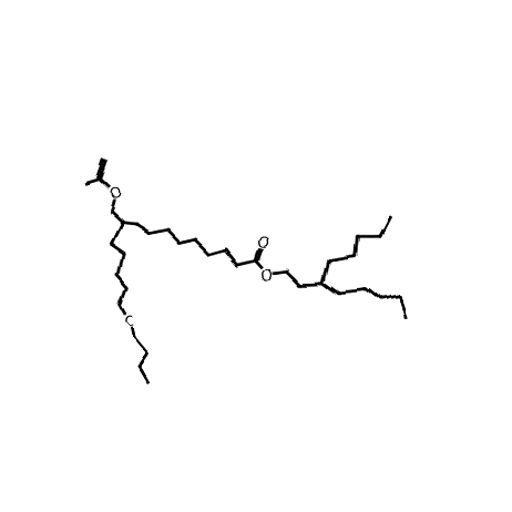 C=C(C)OCC(CCCCCCCCCC)CCCCCCCCC(=O)OCCC(CCCCC)CCCCC